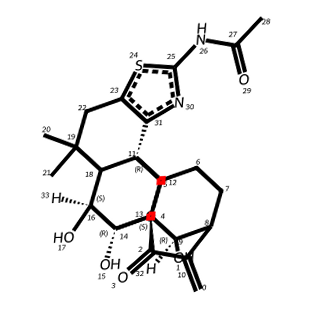 C=C1C(=O)[C@@]23C(CCC1[C@H]2O)[C@@]12CO[C@@]3(O)[C@@H](O)C1C(C)(C)Cc1sc(NC(C)=O)nc12